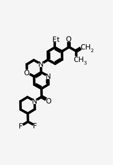 C=C(C)C(=O)c1ccc(N2CCOc3cc(C(=O)N4CCCC(C(F)F)C4)cnc32)cc1CC